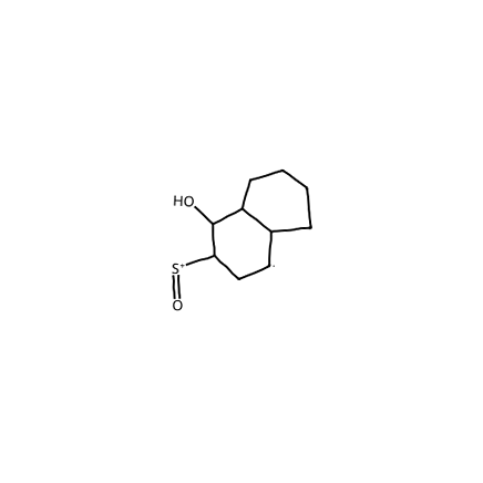 O=[S+]C1C[CH]C2CCCCC2C1O